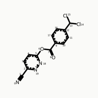 N#Cc1ccc(OC(=O)c2ccc(C(Cl)Cl)cc2)nn1